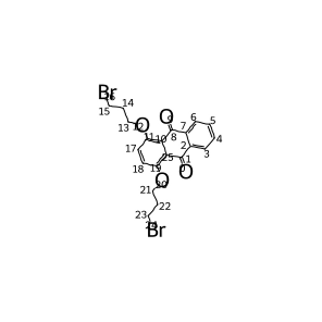 O=C1c2ccccc2C(=O)c2c(OCCCBr)ccc(OCCCBr)c21